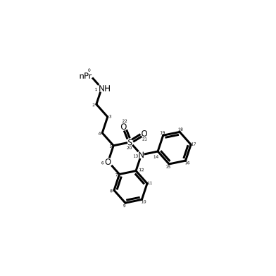 CCCNCCCC1Oc2ccccc2N(c2ccccc2)S1(=O)=O